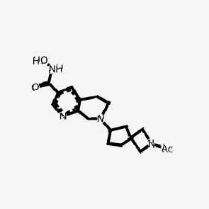 CC(=O)N1CC2(CCC(N3CCc4cc(C(=O)NO)cnc4C3)C2)C1